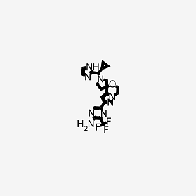 Nc1ncc(-c2cc3n(n2)CCOC32CCN(C(c3ncc[nH]3)C3CC3)C2)nc1C(F)(F)F